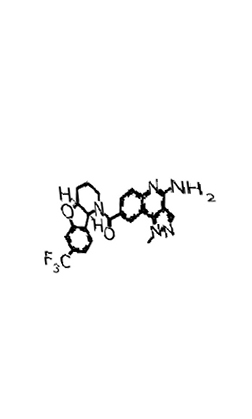 Cn1ncc2c(N)nc3ccc(C(=O)N4CCC[C@@H]5Oc6cc(C(F)(F)F)ccc6[C@@H]54)cc3c21